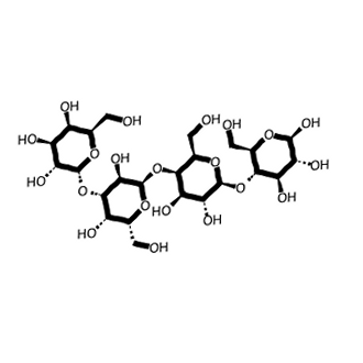 OC[C@H]1O[C@H](O[C@H]2[C@@H](O)[C@@H](CO)O[C@H](O[C@@H]3[C@H](O)[C@@H](O)[C@H](O[C@H]4[C@H](O)[C@@H](O)[C@H](O)O[C@@H]4CO)O[C@@H]3CO)[C@@H]2O)[C@H](O)[C@@H](O)[C@H]1O